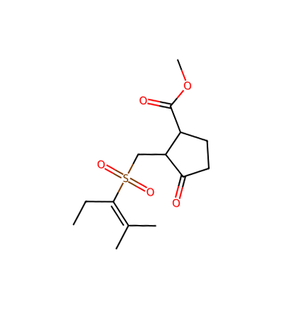 CCC(=C(C)C)S(=O)(=O)CC1C(=O)CCC1C(=O)OC